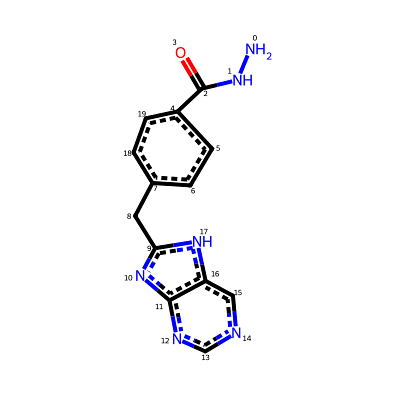 NNC(=O)c1ccc(Cc2nc3ncncc3[nH]2)cc1